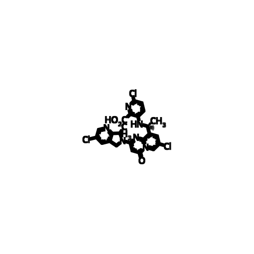 CC1c2ncc(Cl)cc2CN1c1cc(=O)n2cc(Cl)cc([C@@H](C)Nc3ccc(Cl)nc3C(=O)O)c2n1